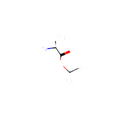 CC(=O)O[C@H](OC(=O)[C@@H](N)C(C)(C)C)C(C)C